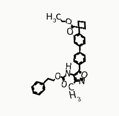 CCOC(=O)C1(c2ccc(-c3ccc(-c4onc(C)c4NC(=O)OCCc4ccccc4)cc3)cc2)CCC1